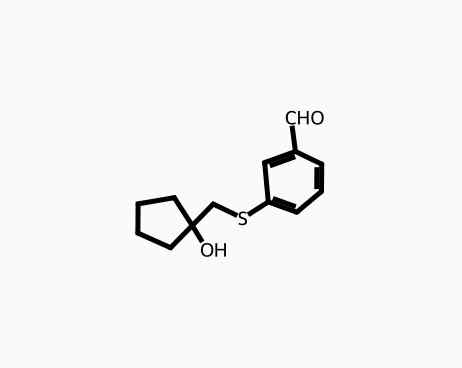 O=Cc1cccc(SCC2(O)CCCC2)c1